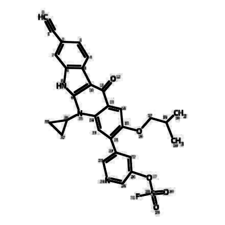 C#Cc1ccc2c(c1)[nH]c1c2c(=O)c2cc(OCC(C)C)c(-c3cncc(OS(=O)(=O)F)c3)cc2n1C1CC1